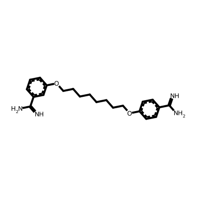 N=C(N)c1ccc(OCCCCCCCCOc2cccc(C(=N)N)c2)cc1